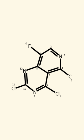 Fc1cnc(Cl)c2c(Cl)nc(Cl)nc12